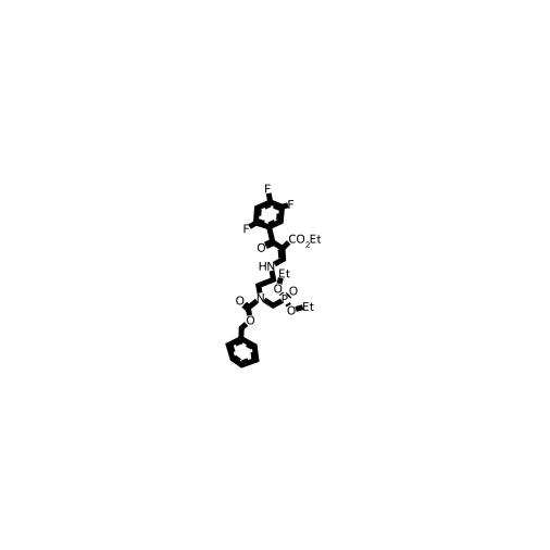 CCOC(=O)C(=CNCCN(CP(=O)(OCC)OCC)C(=O)OCc1ccccc1)C(=O)c1cc(F)c(F)cc1F